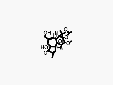 CO[C@@H]1[C@@H](C)[C@@]2(O)[C@@H](C=C(CO)C[C@]3(O)C(=O)C(C)=C[C@@H]23)[C@H]2C(C)(C)[C@]12OC(C)=O